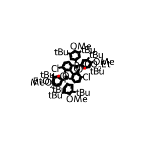 CCOC(=O)COc1c(Cl)ccc(P(=O)(c2cc(C(C)(C)C)c(OC)c(C(C)(C)C)c2)c2cc(C(C)(C)C)c(OC)c(C(C)(C)C)c2)c1-c1c(P(=O)(c2cc(C(C)(C)C)c(OC)c(C(C)(C)C)c2)c2cc(C(C)(C)C)c(OC)c(C(C)(C)C)c2)ccc(Cl)c1OCC(=O)OCC